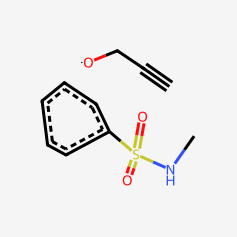 C#CC[O].CNS(=O)(=O)c1ccccc1